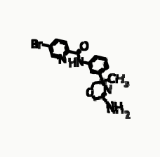 C[C@]1(c2cccc(NC(=O)c3ccc(Br)cn3)c2)COCC(N)=N1